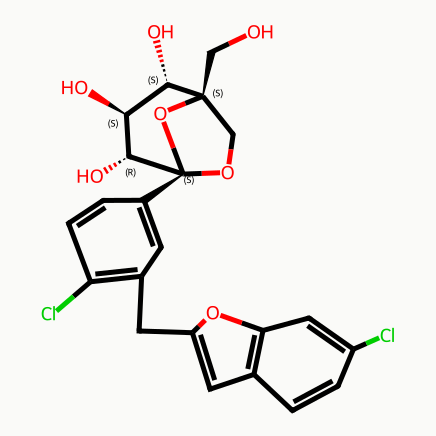 OC[C@@]12CO[C@@](c3ccc(Cl)c(Cc4cc5ccc(Cl)cc5o4)c3)(O1)[C@H](O)[C@@H](O)[C@@H]2O